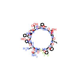 CCCC[C@H]1C(=O)N2CC[C@]2(C)C(=O)N[C@@H](CC(=O)O)C(=O)N[C@@H](C(C)C)C(=O)N(C)[C@@H](Cc2ccccc2)C(=O)N[C@@H](CCC(=O)O)C(=O)N2CCOC[C@@H]2C(=O)N[C@@H](Cc2c[nH]c3ccccc23)C(=O)N[C@@H](Cc2ccc(O)cc2)C(=O)N[C@@H](CCCN)C(=O)N[C@H](C(=O)NCC(N)=O)CSCC(=O)N[C@@H](Cc2cc(F)c(F)c(F)c2)C(=O)N(C)[C@@H](Cc2ccccc2)C(=O)N1C